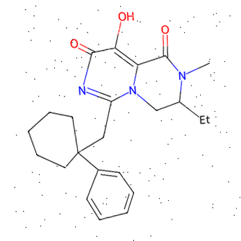 CCC1Cn2c(CC3(c4ccccc4)CCCCC3)nc(=O)c(O)c2C(=O)N1C